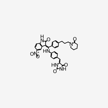 O=C1NC(=O)C(=Cc2ccc(NC(=C3C(=O)Nc4ccc([N+](=O)[O-])cc43)c3ccc(CCCN4CCCCC4=O)cc3)cc2)N1